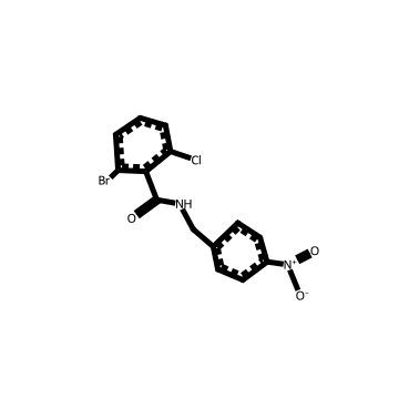 O=C(NCc1ccc([N+](=O)[O-])cc1)c1c(Cl)cccc1Br